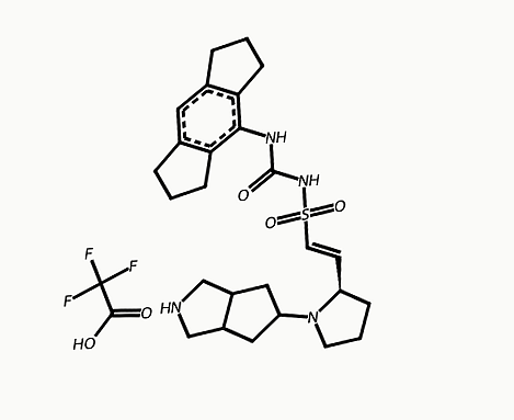 O=C(Nc1c2c(cc3c1CCC3)CCC2)NS(=O)(=O)/C=C/[C@H]1CCCN1C1CC2CNCC2C1.O=C(O)C(F)(F)F